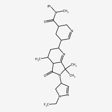 CC1CC(C2C=NCC(C(=O)N(C)C(C)C)C2)N=C2C1C(=O)N(C1C=NN(CC(F)(F)F)C1)C2(C)C